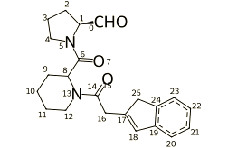 O=C[C@@H]1CCCN1C(=O)C1CCCCN1C(=O)CC1=Cc2ccccc2C1